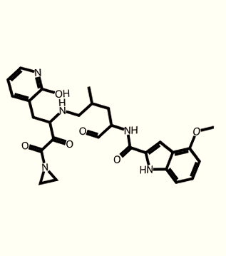 COc1cccc2[nH]c(C(=O)NC(C=O)CC(C)CNC(Cc3cccnc3O)C(=O)C(=O)N3CC3)cc12